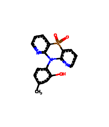 Cc1ccc(N2c3ncccc3S(=O)(=O)c3cccnc32)c(O)c1